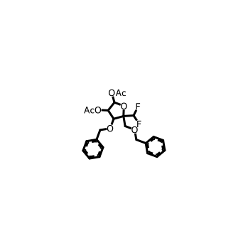 CC(=O)OC1OC(COCc2ccccc2)(C(F)F)C(OCc2ccccc2)C1OC(C)=O